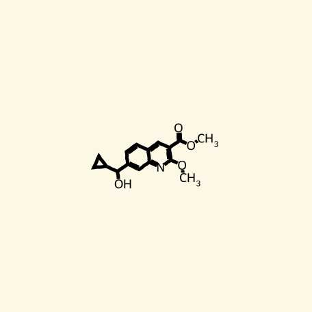 COC(=O)c1cc2ccc(C(O)C3CC3)cc2nc1OC